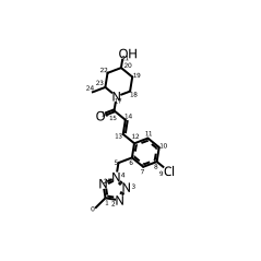 Cc1nnn(Cc2cc(Cl)ccc2/C=C/C(=O)N2CCC(O)CC2C)n1